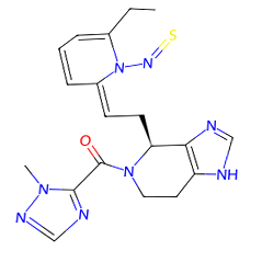 CCC1=CC=C/C(=C/C[C@H]2c3nc[nH]c3CCN2C(=O)c2ncnn2C)N1N=S